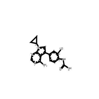 Nc1ncnc2c1c(-c1ccc(NC(=O)O)c(Cl)c1)cn2C1CC1